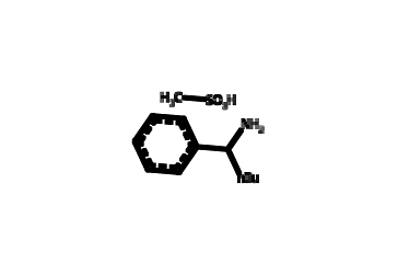 CCCCC(N)c1ccccc1.CS(=O)(=O)O